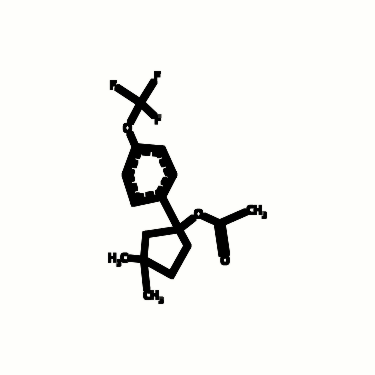 CC(=O)OC1(c2ccc(OC(F)(F)F)cc2)CCC(C)(C)C1